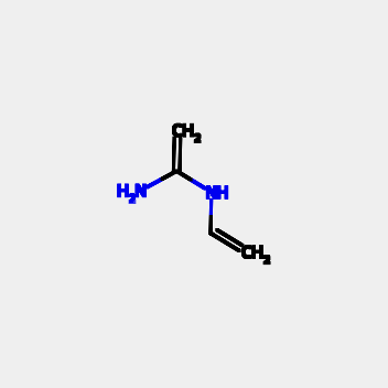 C=CNC(=C)N